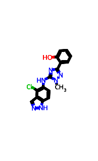 Cn1nc(-c2ccccc2O)nc1Nc1ccc2[nH]ncc2c1Cl